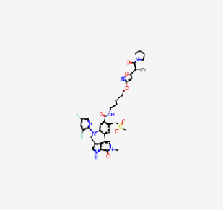 CC(C)C(C(=O)N1CCCC1)c1cc(OCCCCCNC(=O)c2cc3c(cc2CS(C)(=O)=O)-c2cn(C)c(=O)c4[nH]cc(c24)CN3c2ncc(F)cc2F)no1